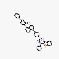 c1ccc(-c2ccc3c(c2)Oc2ccc(-c4ccc(-c5nc(-c6ccccc6)c6sc7ccccc7c6n5)cc4)c4cccc-3c24)cc1